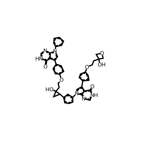 O=c1[nH]cnc2c1c(-c1ccc(OCCC3(O)CC3c3cccc(-n4cc(-c5ccc(OCCC6(O)COC6)cc5)c5c(=O)[nH]cnc54)c3)cc1)cn2-c1ccccc1